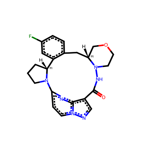 O=C1NN2CCOC[C@H]2Cc2ccc(F)cc2[C@H]2CCCN2c2ccn3ncc1c3n2